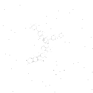 CC1(C)c2ccc(-c3ccc(-c4nc(-c5ccc(-c6ccccc6)cc5)cc(-c5ccc(-c6ccccc6)cc5)n4)c4ccccc34)cc2-c2cc3ccccc3cc21